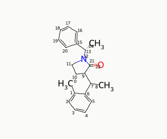 Cc1ccccc1C(C)C1CCN([C@@H](C)c2ccccc2)C1=O